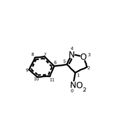 O=[N+]([O-])C1CON=C1c1ccccc1